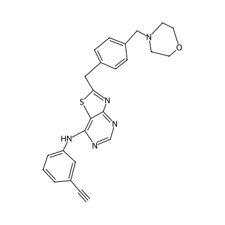 C#Cc1cccc(Nc2ncnc3nc(Cc4ccc(CN5CCOCC5)cc4)sc23)c1